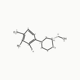 N#Cc1c([N+](=O)[O-])ccc(N2CCO[C@@H](CO)C2)c1F